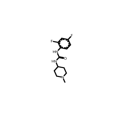 CN1CCC(NC(=O)Nc2ccc(F)cc2F)CC1